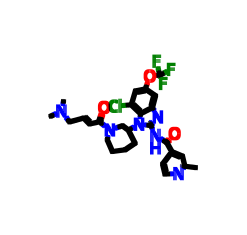 Cc1cc(C(=O)Nc2nc3cc(OC(F)(F)F)cc(Cl)c3n2C2CCCCN(C(=O)C=CCN(C)C)C2)ccn1